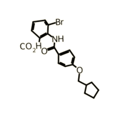 O=C(Nc1c(Br)cccc1C(=O)O)c1ccc(OCC2CCCC2)cc1